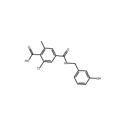 Cc1cc(C(=O)NCc2cccc(O)c2)cc(Cl)c1C(=O)O